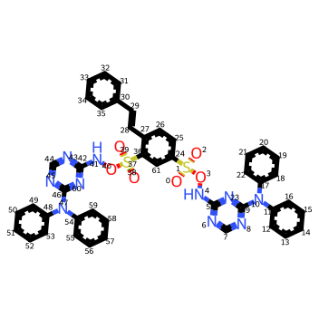 O=S(=O)(ONc1ncnc(N(c2ccccc2)c2ccccc2)n1)c1ccc(C=Cc2ccccc2)c(S(=O)(=O)ONc2ncnc(N(c3ccccc3)c3ccccc3)n2)c1